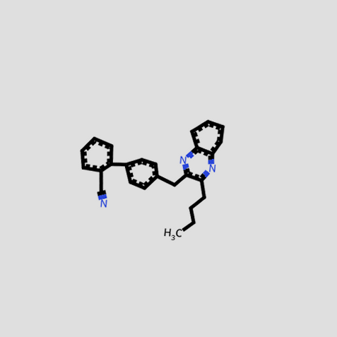 CCCCc1nc2ccccc2nc1Cc1ccc(-c2ccccc2C#N)cc1